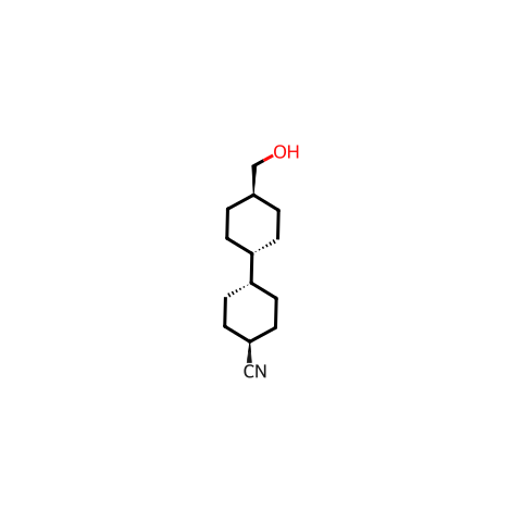 N#C[C@H]1CC[C@H]([C@H]2CC[C@H](CO)CC2)CC1